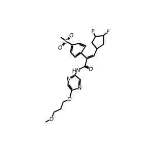 COCCCOc1cnc(NC(=O)/C(=C/C2CC(F)C(F)C2)c2ccc(S(C)(=O)=O)cc2)cn1